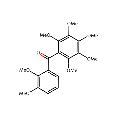 COc1cccc(C(=O)c2c(OC)c(OC)c(OC)c(OC)c2OC)c1OC